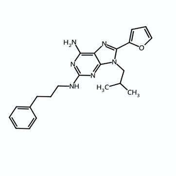 CC(C)Cn1c(-c2ccco2)nc2c(N)nc(NCCCc3ccccc3)nc21